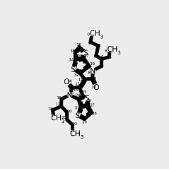 CCCCC(CC)CN1C(=O)C(=C2C(=O)N(CC(CC)CCCC)c3c2sc2ccsc32)c2sc3ccsc3c21